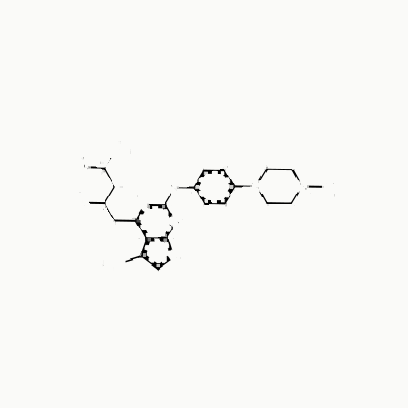 Cc1csc2nc(Nc3ccc(N4CCN(C)CC4)cc3)nc(CC(C)C[C@@H](N)C(=O)O)c12